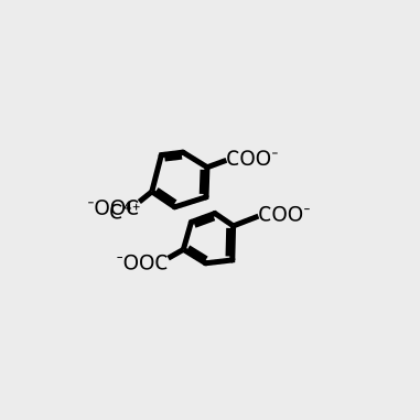 O=C([O-])c1ccc(C(=O)[O-])cc1.O=C([O-])c1ccc(C(=O)[O-])cc1.[C+4]